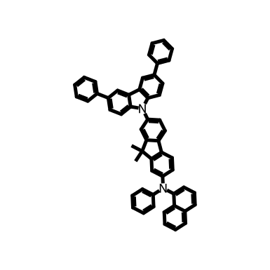 CC1(C)c2cc(N(c3ccccc3)c3cccc4ccccc34)ccc2-c2ccc(-n3c4ccc(-c5ccccc5)cc4c4cc(-c5ccccc5)ccc43)cc21